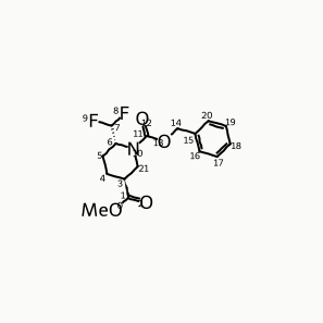 COC(=O)[C@H]1CC[C@H](C(F)F)N(C(=O)OCc2ccccc2)C1